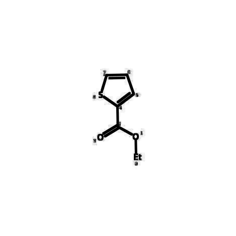 CCOC(=O)c1cc[c]s1